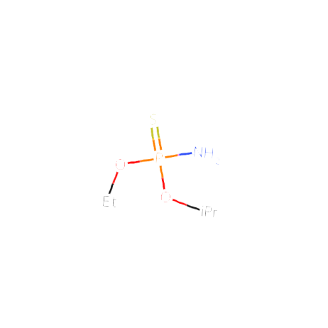 CCOP(N)(=S)OC(C)C